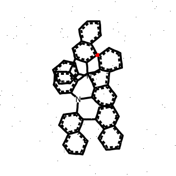 CC1(C)c2cc3ccccc3cc2-c2cccc(N(c3ccc4ccccc4c3-c3cccc4ccccc34)c3cccc4c5ccccc5n(-c5ccccc5)c34)c21